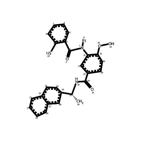 CCN(C(=O)c1ccccc1S)c1cc(C(=O)N[C@H](C)c2ccc3ccccc3c2)ccc1OO